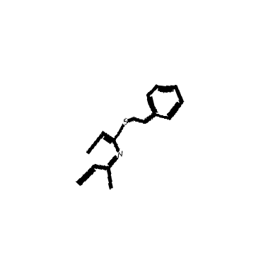 C=C/C(C)=N\C(=C/C)SCc1ccccc1